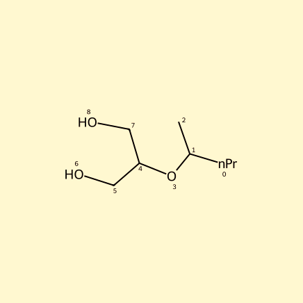 CCCC(C)OC(CO)CO